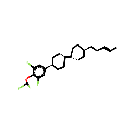 C/C=C/CC[C@H]1CC[C@H]([C@H]2CC[C@H](c3cc(F)c(OC(F)F)c(F)c3)CC2)CC1